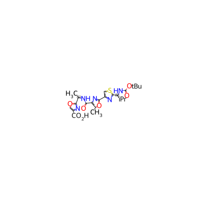 Cc1oc(-c2csc([C@@H](NC(=O)OC(C)(C)C)C(C)C)n2)nc1C(=O)N[C@@H](C)c1nc(C(=O)O)co1